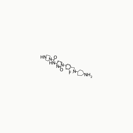 CN(Cc1ccc(-n2ccc(NC(=O)N3CCNCC3)nc2=O)cc1F)[C@H]1CC[C@H](N)CC1